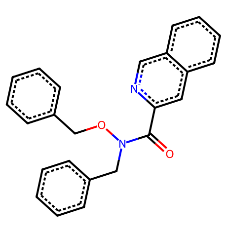 O=C(c1cc2ccccc2cn1)N(Cc1ccccc1)OCc1ccccc1